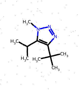 CC(C)c1c(C(C)(C)C)nnn1C